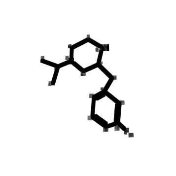 CC(C)N1CCNC(Cc2cccc(F)c2)C1